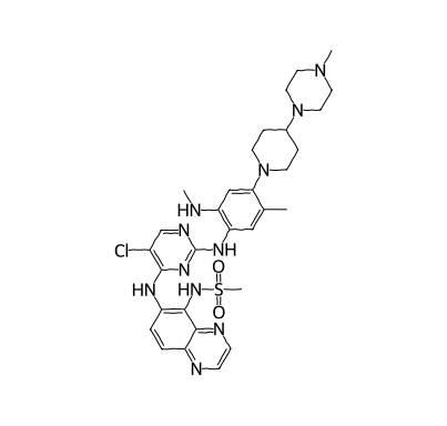 CNc1cc(N2CCC(N3CCN(C)CC3)CC2)c(C)cc1Nc1ncc(Cl)c(Nc2ccc3nccnc3c2NS(C)(=O)=O)n1